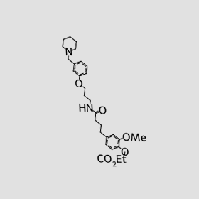 CCOC(=O)Oc1ccc(CCCC(=O)NCCCOc2cccc(CN3CCCCC3)c2)cc1OC